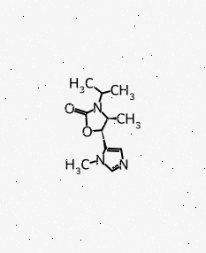 CC(C)N1C(=O)O[C@H](c2cncn2C)[C@@H]1C